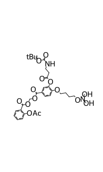 CC(=O)Oc1ccccc1C(=O)OCOC(=O)c1ccc(OCCCCON(O)O)c(OC(=O)CCNC(=O)OC(C)(C)C)c1